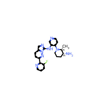 C[C@@H]1[C@H](N)CCCN1c1ccncc1Nc1ncc2ccc(-c3ncccc3F)nn12